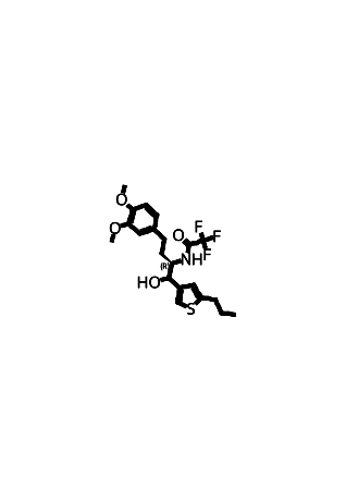 CCCc1cc(C(O)[C@@H](CCc2ccc(OC)c(OC)c2)NC(=O)C(F)(F)F)cs1